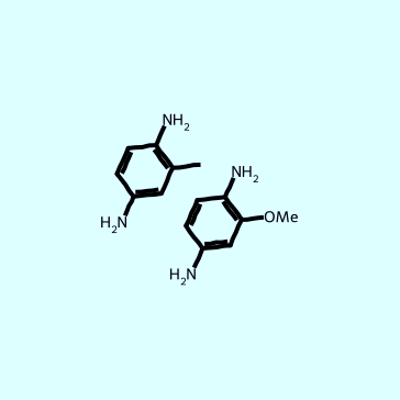 COc1cc(N)ccc1N.Cc1cc(N)ccc1N